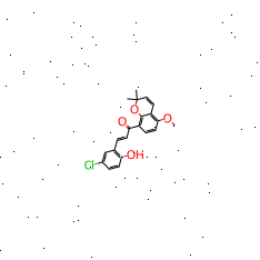 COc1ccc(C(=O)/C=C/c2cc(Cl)ccc2O)c2c1C=CC(C)(C)O2